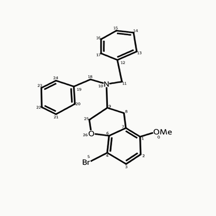 COc1ccc(Br)c2c1CC(N(Cc1ccccc1)Cc1ccccc1)CO2